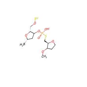 B[C@H]1CC(OP(=O)(O)SC[C@H]2OCCC2OC)[C@@H](COS)O1